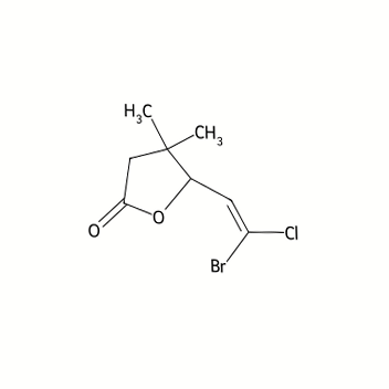 CC1(C)CC(=O)OC1C=C(Cl)Br